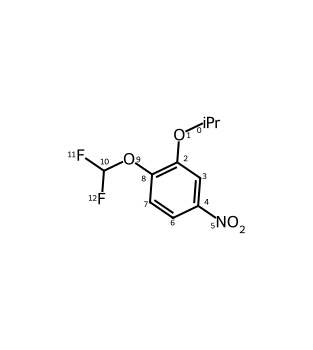 CC(C)Oc1cc([N+](=O)[O-])ccc1OC(F)F